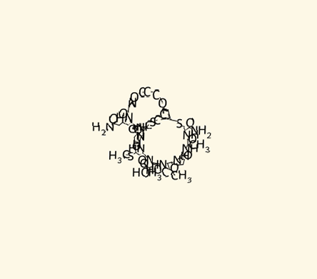 CC[C@H](C)[C@@H]1NC(=O)[C@H](CC(=O)O)NC(=O)[C@H](CCSC)NC(=O)[C@@H]2CCCN2C(=O)[C@@H]2CSCc3cc(cc(c3)OCCCCCCO/N=C/C(=O)N[C@@H](CCCC(N)=O)C(=O)N2)CSC[C@@H](C(N)=O)NC(=O)[C@H](C)NC(=O)[C@@H]2CCCN2C1=O